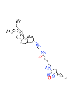 CC(C)CCC[C@@H](C)[C@H]1CCC2C3CC=C4C[C@@H](NCCCNC(=O)CCCCCNc5ccc([N+](=O)[O-])c6nonc56)CC[C@]4(C)C3CC[C@@]21C